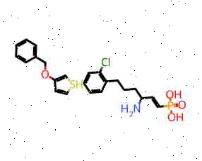 NC(C=CP(=O)(O)O)CCCc1ccc([SH]2C=CC(OCc3ccccc3)=C2)cc1Cl